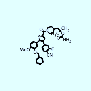 COc1ccc(-c2sc(C(=O)N3CCC(CC(C)(C)OC(N)=O)CC3)cc2-c2ccc(C#N)c(F)c2)cc1OCc1ccccc1